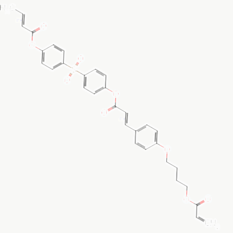 C=CC(=O)OCCCCOc1ccc(/C=C/C(=O)Oc2ccc(S(=O)(=O)c3ccc(OC(=O)/C=C/C)cc3)cc2)cc1